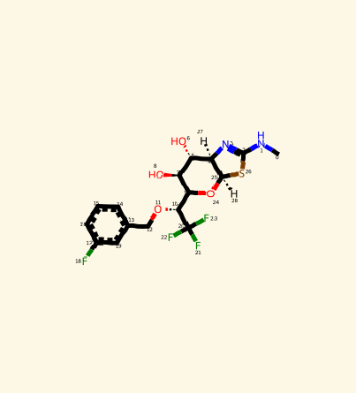 CNC1=N[C@@H]2[C@@H](O)[C@H](O)C([C@@H](OCc3cccc(F)c3)C(F)(F)F)O[C@@H]2S1